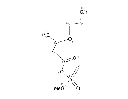 COS(=O)(=O)OC(=O)CC(C)OCCO